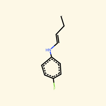 [CH2]CC=CNc1ccc(F)cc1